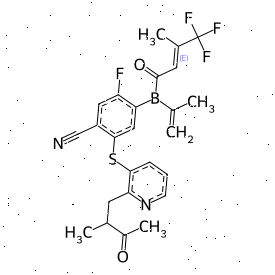 C=C(C)B(C(=O)/C=C(\C)C(F)(F)F)c1cc(Sc2cccnc2CC(C)C(C)=O)c(C#N)cc1F